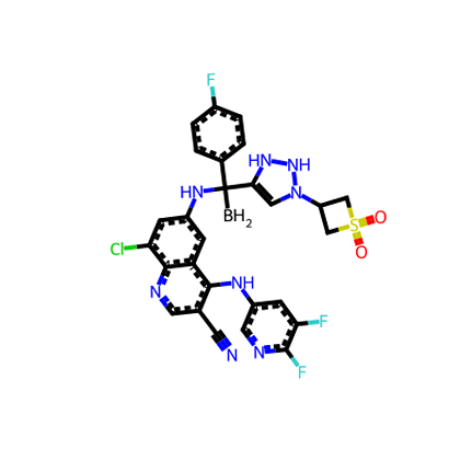 BC(Nc1cc(Cl)c2ncc(C#N)c(Nc3cnc(F)c(F)c3)c2c1)(C1=CN(C2CS(=O)(=O)C2)NN1)c1ccc(F)cc1